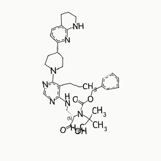 CCCc1c(NC[C@@H](C(=O)O)N(C(=O)OCc2ccccc2)C(C)(C)C)ncnc1N1CCC(c2ccc3c(n2)NCCC3)CC1